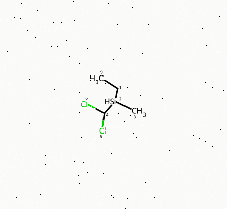 CC[SiH](C)C(Cl)Cl